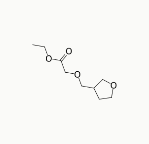 CCOC(=O)COCC1CCOC1